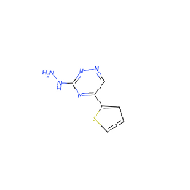 NNc1nncc(-c2cccs2)n1